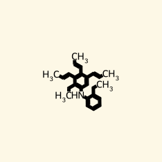 CC=Cc1cc(Nc2ccccc2CC)c(CC)c(C=CC)c1C=CC